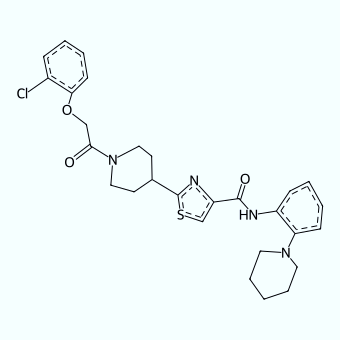 O=C(Nc1ccccc1N1CCCCC1)c1csc(C2CCN(C(=O)COc3ccccc3Cl)CC2)n1